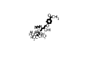 CC(=O)c1ccc(OCC(O)C(CO[Si](C)(C)C(C)(C)C)N=[N+]=[N-])cc1